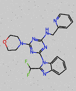 FC(F)c1nc2ccccc2n1-c1nc(NCc2ccccn2)nc(N2CCOCC2)n1